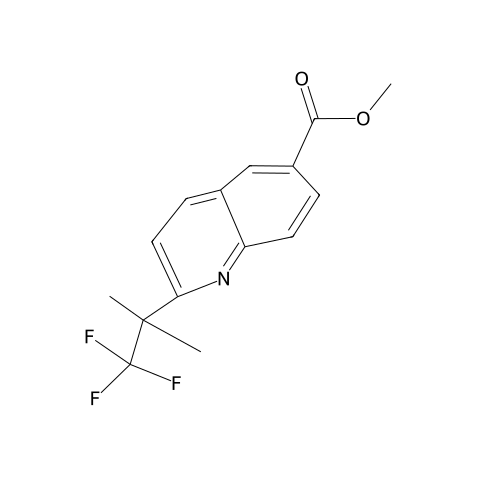 COC(=O)c1ccc2nc(C(C)(C)C(F)(F)F)ccc2c1